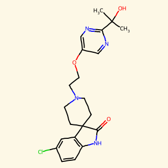 CC(C)(O)c1ncc(OCCN2CCC3(CC2)C(=O)Nc2ccc(Cl)cc23)cn1